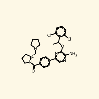 CC(Oc1nc(-c2ccc(C(=O)N3CCC[C@@H]3CN3CCCC3)cc2)cnc1N)c1c(Cl)cccc1Cl